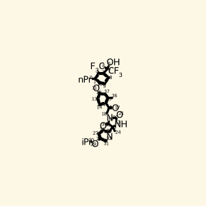 CCCc1cc(C(O)(C(F)(F)F)C(F)(F)F)ccc1Oc1ccc(C(=O)CN2C(=O)NC(C)(c3ccc(OC(C)C)cn3)C2=O)c(C)c1